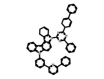 C1=Cc2c(c3c4c5ccccc5n(-c5cccc(-c6cccc(-c7ccccc7)n6)c5)c4ccc3n2-c2nc(-c3ccccc3)nc(C3C=CC(c4ccccc4)=CC3)n2)CC1